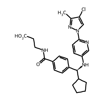 Cc1nn(-c2ccc(N[C@H](c3ccc(C(=O)NCCC(=O)O)cc3)C3CCCC3)cn2)cc1Cl